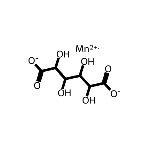 O=C([O-])C(O)C(O)C(O)C(O)C(=O)[O-].[Mn+2]